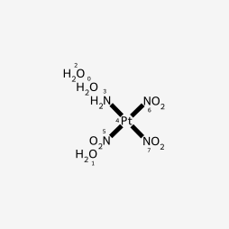 O.O.O.[NH2][Pt]([N+](=O)[O-])([N+](=O)[O-])[N+](=O)[O-]